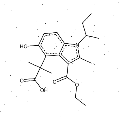 CCOC(=O)c1c(C)n(C(C)CC)c2ccc(O)c(C(C)(C)C(=O)O)c12